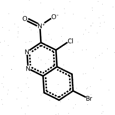 O=[N+]([O-])c1nnc2ccc(Br)cc2c1Cl